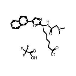 CCC(=O)CCCCC[C@H](NC(=O)CN(C)C)c1ncc(-c2ccc3ccccc3c2)o1.O=C(O)C(F)(F)F